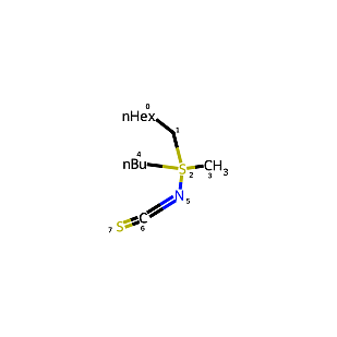 CCCCCCCS(C)(CCCC)N=C=S